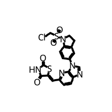 O=C1NC(=O)C(=Cc2ccc3ncn(-c4ccc5c(c4)CCN5S(=O)(=O)CCl)c3n2)S1